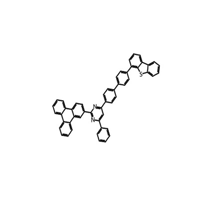 c1ccc(-c2cc(-c3ccc(-c4ccc(-c5cccc6c5sc5ccccc56)cc4)cc3)nc(-c3ccc4c5ccccc5c5ccccc5c4c3)n2)cc1